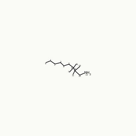 CCCCCCC(C)(C)C(C)(C)CN